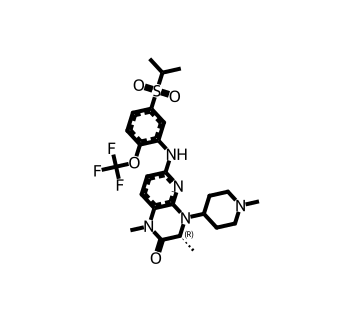 CC(C)S(=O)(=O)c1ccc(OC(F)(F)F)c(Nc2ccc3c(n2)N(C2CCN(C)CC2)[C@H](C)C(=O)N3C)c1